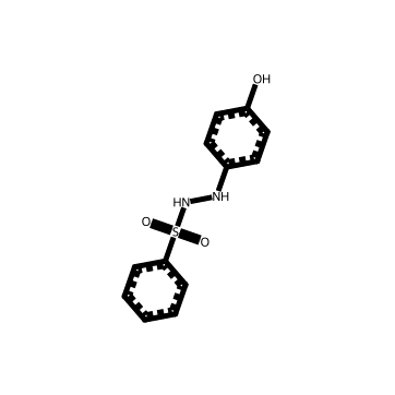 O=S(=O)(NNc1ccc(O)cc1)c1ccccc1